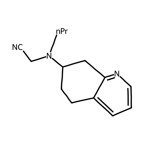 CCCN(CC#N)C1CCc2cccnc2C1